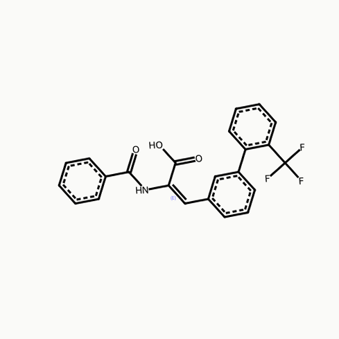 O=C(O)/C(=C\c1cccc(-c2ccccc2C(F)(F)F)c1)NC(=O)c1ccccc1